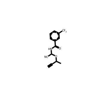 C#CC(C)OC(C#N)NC(=O)c1cccc(C(F)(F)F)c1